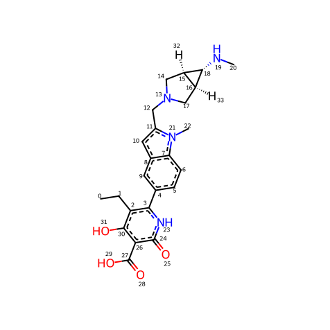 CCc1c(-c2ccc3c(c2)cc(CN2C[C@@H]4[C@H](C2)[C@H]4NC)n3C)[nH]c(=O)c(C(=O)O)c1O